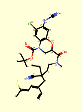 C=CC(=CC=C(C)F)CC(C#N)(CC)CCN(C)C(=O)C1CN(C(=O)OC(C)(C)C)c2cc(Cl)c(NC#N)cc2O1